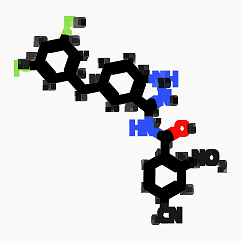 N#Cc1ccc(C(=O)Nc2n[nH]c3ccc(Cc4cc(F)cc(F)c4)cc23)c([N+](=O)[O-])c1